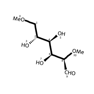 COC[C@@H](O)[C@@H](O)[C@H](O)[C@H](C=O)OC